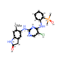 COc1cc2c(cc1Nc1ncc(Cl)c(Nc3ccccc3P(C)(C)=O)n1)CC(=O)N2